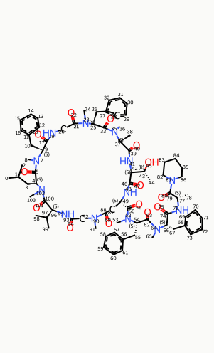 CC(C)C[C@H]1C(=O)N(C)[C@@H](Cc2ccccc2)C(=O)NCC(=O)N(C)[C@@H](Cc2ccccc2)C(=O)N(C)[C@@H](C)C(=O)N[C@@H]([C@@H](C)O)C(=O)N[C@H](C(=O)N(C)[C@@H](Cc2ccccc2)C(=O)N(C)[C@@H](Cc2ccccc2)C(=O)N[C@@H](C)C(=O)N2CCCCC2)CC(=O)N(C)CC(=O)N[C@@H](C(C)C)C(=O)N1C